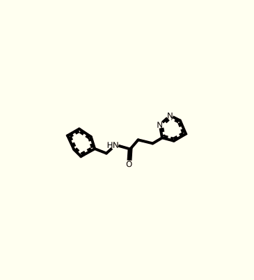 O=C(CCc1cccnn1)NCc1ccccc1